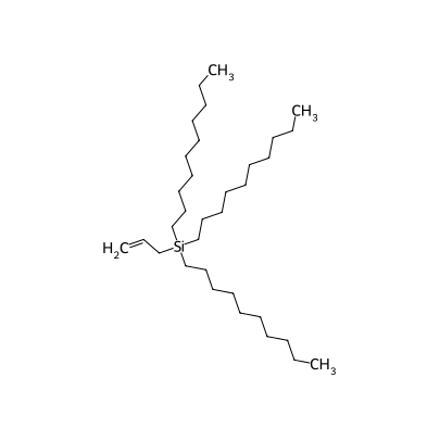 C=CC[Si](CCCCCCCCCC)(CCCCCCCCCC)CCCCCCCCCC